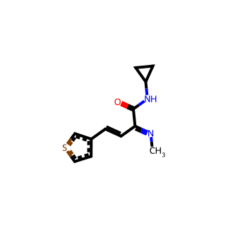 C/N=C(\C=C\c1ccsc1)C(=O)NC1CC1